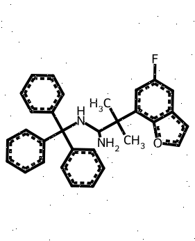 CC(C)(c1cc(F)cc2ccoc12)C(N)NC(c1ccccc1)(c1ccccc1)c1ccccc1